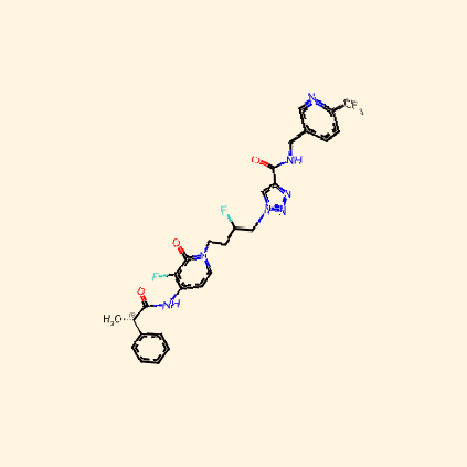 C[C@H](C(=O)Nc1ccn(CCC(F)Cn2cc(C(=O)NCc3ccc(C(F)(F)F)nc3)nn2)c(=O)c1F)c1ccccc1